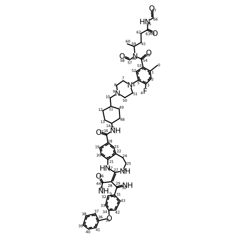 Cc1cc(F)c(N2CCN(CC3CCC(NC(=O)c4ccc5c(c4)CCN/C(=C(\C(=N)c4ccc(Oc6ccccc6)cc4)C(N)=O)N5)CC3)CC2)cc1C(=O)N(C=O)C(C)CCC(=O)NC=O